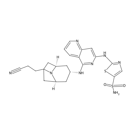 N#CCCC12C[C@H]3C[C@H](Nc4nc(Nc5ncc(S(N)(=O)=O)s5)cc5ncccc45)C[C@@H](C1)N32